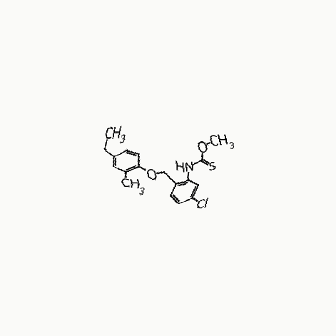 CCc1ccc(OCc2ccc(Cl)cc2NC(=S)OC)c(C)c1